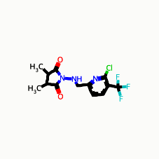 CC1C(=O)N(NCc2ccc(C(F)(F)F)c(Cl)n2)C(=O)C1C